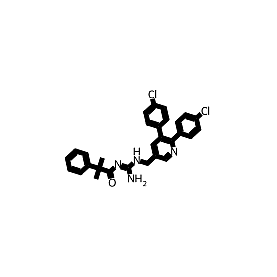 CC(C)(C(=O)/N=C(\N)NCc1cnc(-c2ccc(Cl)cc2)c(-c2ccc(Cl)cc2)c1)c1ccccc1